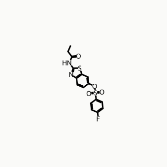 CCC(=O)Nc1nc2ccc(OS(=O)(=O)c3ccc(F)cc3)cc2s1